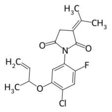 C=CC(C)Oc1cc(N2C(=O)CC(=C(C)C)C2=O)c(F)cc1Cl